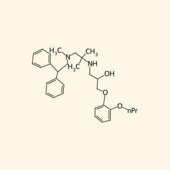 CCCOc1ccccc1OCC(O)CNC(C)(C)CN(C)CC(c1ccccc1)c1ccccc1